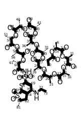 C[CH]C(=O)O[C@@H](C)C(=O)O[C@@H](C)C(=O)O[C@@H](C)C(=O)O[C@@H](C)C(=O)O[C@@H](C)C(=O)O[C@@H](C)C(=O)O[C@@H](C)C(=O)O[C@@H](C)C(=O)O[C@@H](C)C(=O)O[C@@H](C)C(=O)O[C@@H](C)C(=O)O[C@@H](C)C(=O)NS(=O)(=O)C1=C[C@H](NCC)C2=C(S1)S(=O)(=O)[C@@H](C)C2